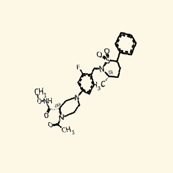 CONC(=O)[C@@H]1CN(c2ccc(CN3[C@@H](C)CCC(c4ccccc4)S3(=O)=O)c(F)c2)CCN1C(C)=O